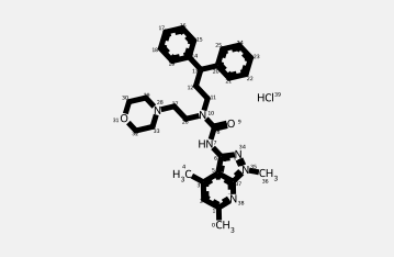 Cc1cc(C)c2c(NC(=O)N(CCC(c3ccccc3)c3ccccc3)CCN3CCOCC3)nn(C)c2n1.Cl